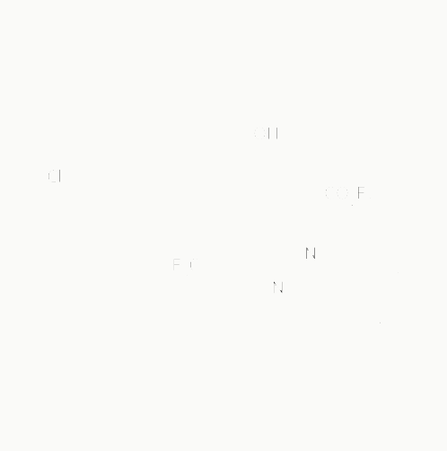 CCOC(=O)c1c(C(O)c2ccc(Cl)cc2)c(C(F)(F)F)nn1C1CC1